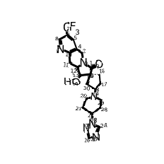 O=C1N2Cc3cc(C(F)(F)F)cnc3CC2C(O)[C@@]12CCC(N1CCC(n3cncn3)CC1)C2